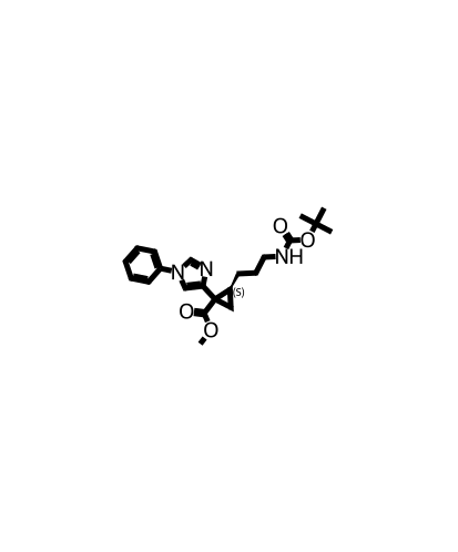 COC(=O)C1(c2cn(-c3ccccc3)cn2)C[C@@H]1CCCNC(=O)OC(C)(C)C